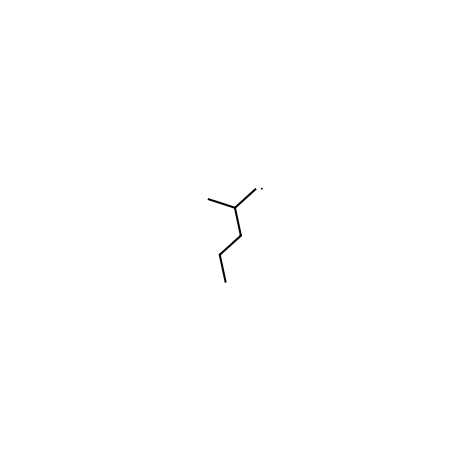 [CH2]C(C)CCC